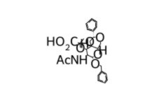 CC(=O)N[C@H]1[C@@H](OCc2ccccc2)O[C@@H]2CO[C@@H](c3ccccc3)O[C@H]2[C@@H]1OC(C)C(=O)O